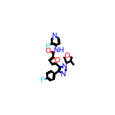 CC1COCC1n1cnc(-c2ccc(F)cc2)c1-c1ccc(C(=O)Nc2ccncc2F)o1